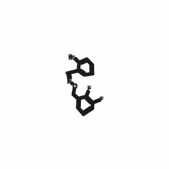 Fc1cccc(CO/N=[C]\c2ccccc2Br)c1F